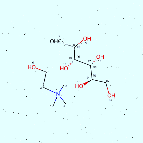 C[N+](C)(C)CCO.O=C[C@H](O)[C@@H](O)[C@H](O)[C@H](O)CO